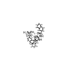 Cc1ccc(S(=O)(=O)N(C)C)cc1NC(=O)[C@@H](CC1CCCCC1)NC(=N)NC(=O)Cc1ccc2ccccc2c1